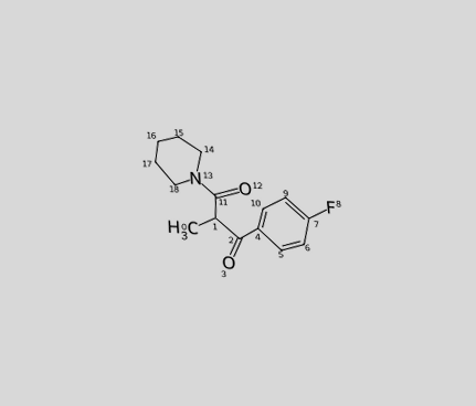 CC(C(=O)c1ccc(F)cc1)C(=O)N1CCCCC1